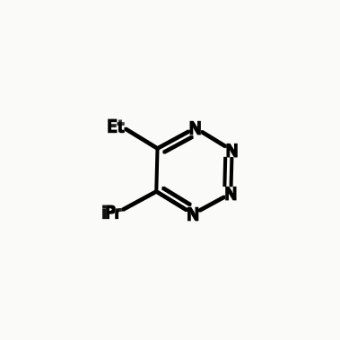 CCc1nnnnc1C(C)C